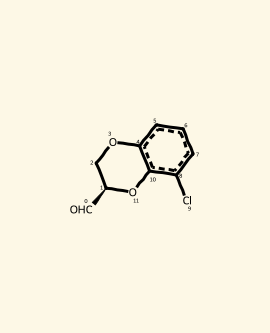 O=C[C@H]1COc2cccc(Cl)c2O1